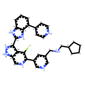 Fc1c(-c2cncc(CNCC3CCCC3)c2)ncc2[nH]nc(-c3nc4c(-c5ccncc5)cccc4[nH]3)c12